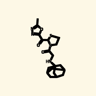 Cc1nnc(C(=O)C2SCCN2C(=O)CNC23CC4CC(CC(C4)C2)C3)o1